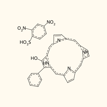 O=[N+]([O-])c1ccc(S(=O)(=O)O)c([N+](=O)[O-])c1.Oc1c(-c2ccccc2)c2cc3nc(cc4ccc(cc5nc(cc1[nH]2)C=C5)[nH]4)C=C3